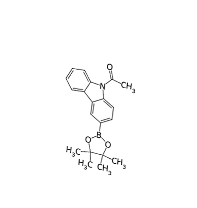 CC(=O)n1c2ccccc2c2cc(B3OC(C)(C)C(C)(C)O3)ccc21